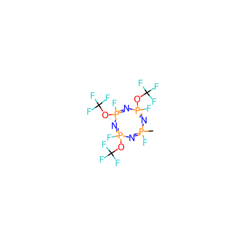 CP1(F)=NP(F)(OC(F)(F)F)=NP(F)(OC(F)(F)F)=NP(F)(OC(F)(F)F)=N1